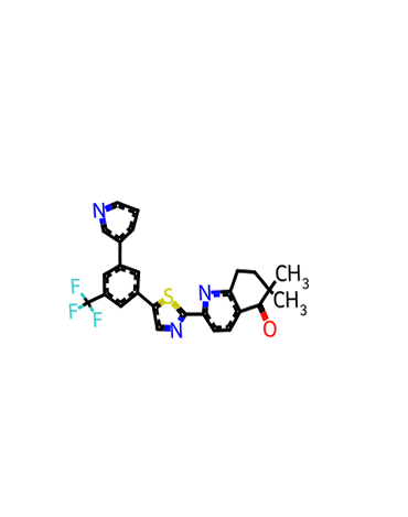 CC1(C)CCc2nc(-c3ncc(-c4cc(-c5cccnc5)cc(C(F)(F)F)c4)s3)ccc2C1=O